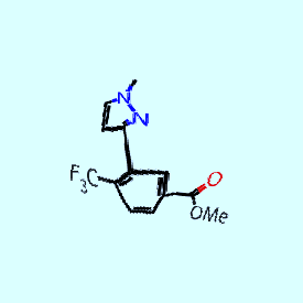 COC(=O)c1ccc(C(F)(F)F)c(-c2ccn(C)n2)c1